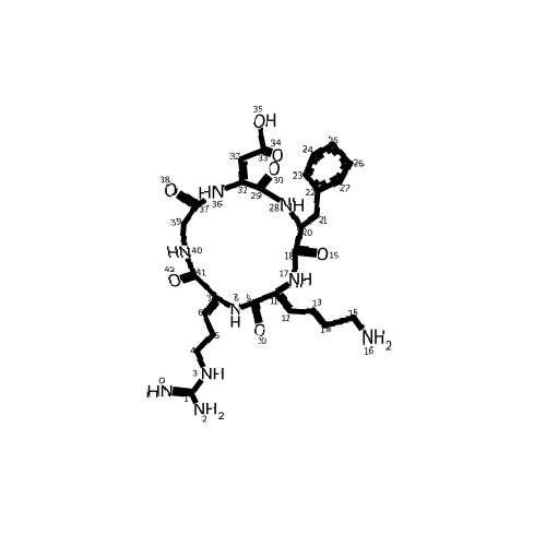 N=C(N)NCC/C=C1\NC(=O)/C(=C/CCCN)NC(=O)C(Cc2ccccc2)NC(=O)/C(=C\C(=O)O)NC(=O)CNC1=O